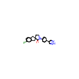 O=C1N(c2ccc(-c3cn[nH]c3)cc2)CCC12Cc1ccc(F)cc1C2